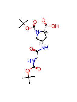 CC(C)(C)OC(=O)NCC(=O)N[C@H]1C[C@@H](C(=O)O)N(C(=O)OC(C)(C)C)C1